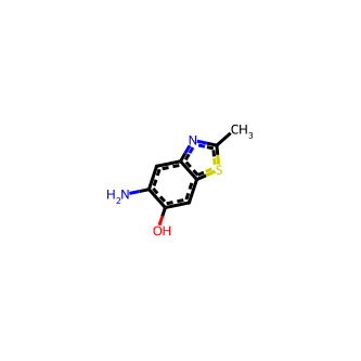 Cc1nc2cc(N)c(O)cc2s1